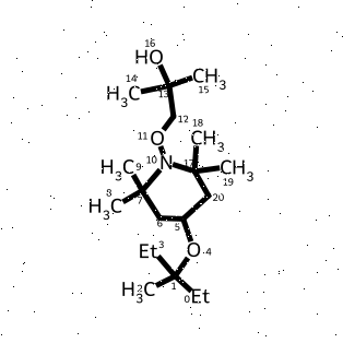 CCC(C)(CC)OC1CC(C)(C)N(OCC(C)(C)O)C(C)(C)C1